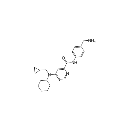 NCc1ccc(NC(=O)c2cc(N(CC3CC3)C3CCCCC3)ncn2)cc1